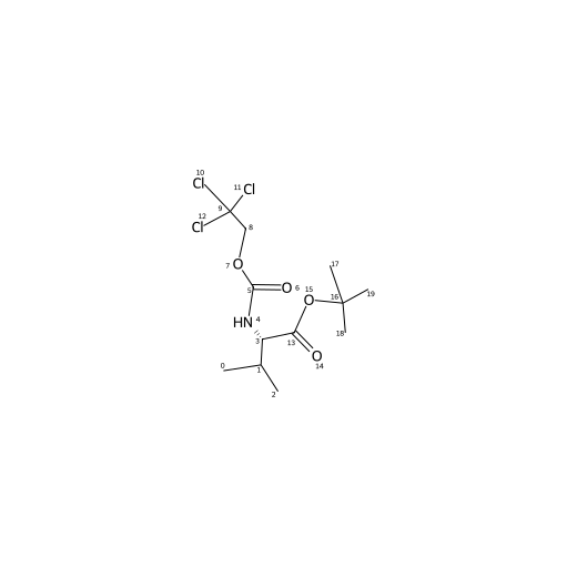 CC(C)[C@H](NC(=O)OCC(Cl)(Cl)Cl)C(=O)OC(C)(C)C